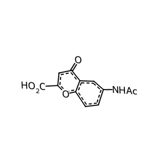 CC(=O)Nc1ccc2oc(C(=O)O)cc(=O)c2c1